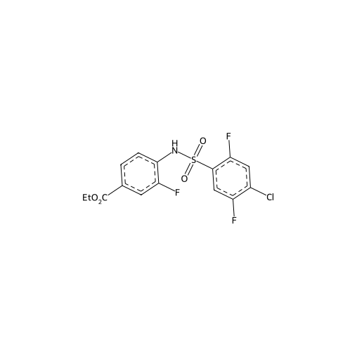 CCOC(=O)c1ccc(NS(=O)(=O)c2cc(F)c(Cl)cc2F)c(F)c1